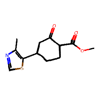 COC(=O)C1CCC(c2scnc2C)CC1=O